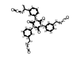 CC(N=C=O)c1cccc(-n2c(=O)n(-c3cccc(CN=C=O)c3)c(=O)n(-c3cccc(CN=C=O)c3)c2=O)c1